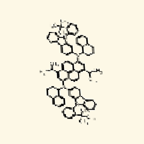 CC(C)c1cc(N(c2ccc3c4ccccc4n(-c4ccccc4C(C)(C)C)c3c2)C2CCCc3ccccc32)c2ccc3c(C(C)C)cc(N(c4ccc5c6ccccc6n(-c6ccccc6C(C)(C)C)c5c4)C4CCCc5ccccc54)c4ccc1c2c34